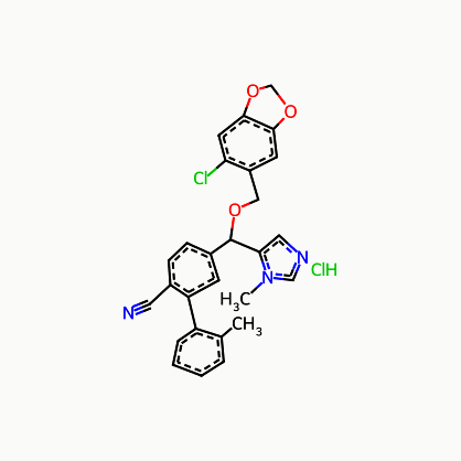 Cc1ccccc1-c1cc(C(OCc2cc3c(cc2Cl)OCO3)c2cncn2C)ccc1C#N.Cl